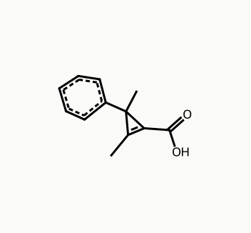 CC1=C(C(=O)O)C1(C)c1ccccc1